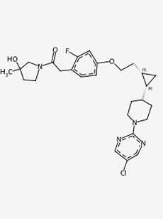 CC1(O)CCN(C(=O)Cc2ccc(OCC[C@@H]3C[C@@H]3C3CCN(c4ncc(Cl)cn4)CC3)cc2F)C1